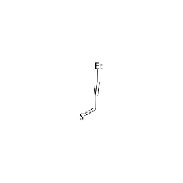 CCC#CC=S